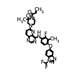 C=CC(=O)N1CCN(c2ccc3ncnc(Nc4ccc(Oc5ccc6c(c5)nnn6C(F)F)c(C)c4F)c3n2)CC1(C)C